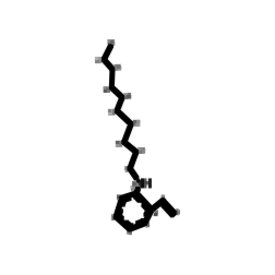 C=Cc1ccccc1NCCCCCCCCCC